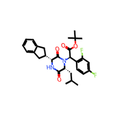 CC(C)C[C@@H]1C(=O)N[C@H](C2Cc3ccccc3C2)C(=O)N1[C@@H](C(=O)OC(C)(C)C)c1ccc(F)cc1F